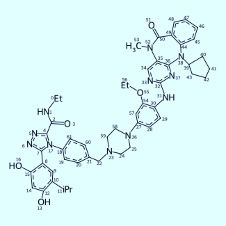 CCNC(=O)c1nnc(-c2cc(C(C)C)c(O)cc2O)n1-c1ccc(CN2CCN(c3ccc(Nc4ncc5c(n4)N(C4CCCC4)c4ccccc4C(=O)N5C)c(OCC)c3)CC2)cc1